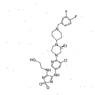 CC[C@H]1CN(c2ncc(NC3=NS(=O)(=O)N=C3NCCO)cc2Cl)CCN1C1CCN(Cc2ccc(F)c(F)c2)CC1